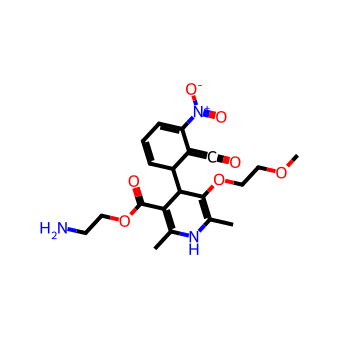 COCCOC1=C(C)NC(C)=C(C(=O)OCCN)C1C1C=CC=C([N+](=O)[O-])C1=C=O